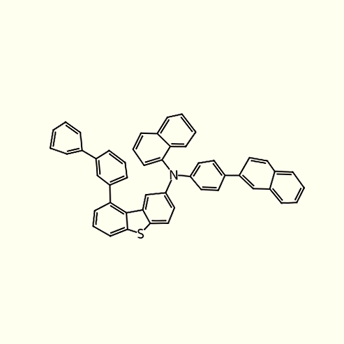 c1ccc(-c2cccc(-c3cccc4sc5ccc(N(c6ccc(-c7ccc8ccccc8c7)cc6)c6cccc7ccccc67)cc5c34)c2)cc1